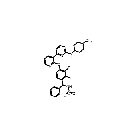 CN1CCC(Nc2nccc(-c3cccnc3Oc3ccc(C(N[SH](=O)=O)c4ccccc4)c(F)c3F)n2)CC1